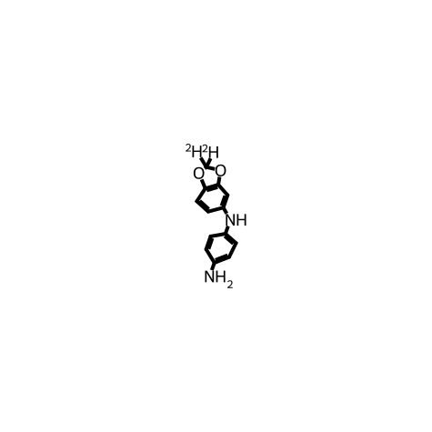 [2H]C1([2H])Oc2ccc(Nc3ccc(N)cc3)cc2O1